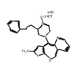 Cc1cc2c(s1)NC=c1cccnc1=C2N1CCN(C)C(CCc2ccccc2)C1.Cl.Cl